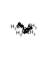 COc1ccccc1N1CCN(CCCOc2c(N)ccc(OC)c2C(=O)N2CCN(c3ccccc3OC)CC2)CC1